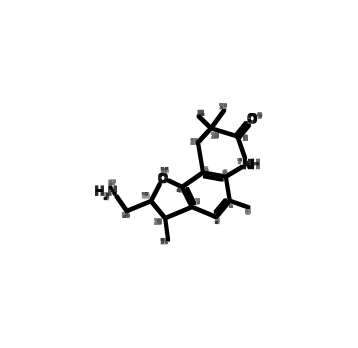 Cc1cc2c(c3c1NC(=O)C(C)(C)C3)OC(CN)C2C